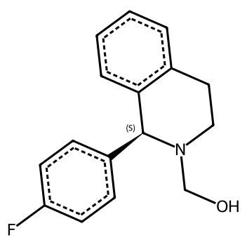 OCN1CCc2ccccc2[C@@H]1c1ccc(F)cc1